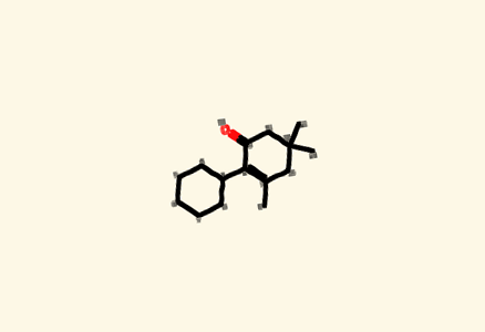 CC1=C(C2CCCCC2)C(=O)CC(C)(C)C1